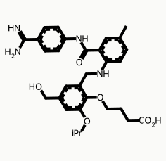 Cc1ccc(NCc2cc(CO)cc(OC(C)C)c2OCCCC(=O)O)c(C(=O)Nc2ccc(C(=N)N)cc2)c1